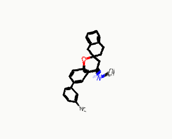 [C-]#[N+]c1cccc(-c2ccc3c(c2)/C(=N/C#N)CC2(CCc4ccccc4C2)O3)c1